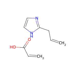 C=CC(=O)O.C=CCc1ncc[nH]1